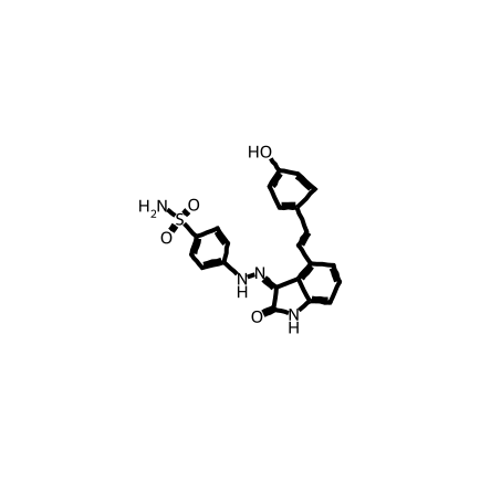 NS(=O)(=O)c1ccc(N/N=C2\C(=O)Nc3cccc(/C=C/c4ccc(O)cc4)c32)cc1